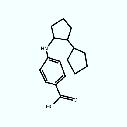 O=C(O)c1ccc(NC2CCCC2C2CCCC2)cc1